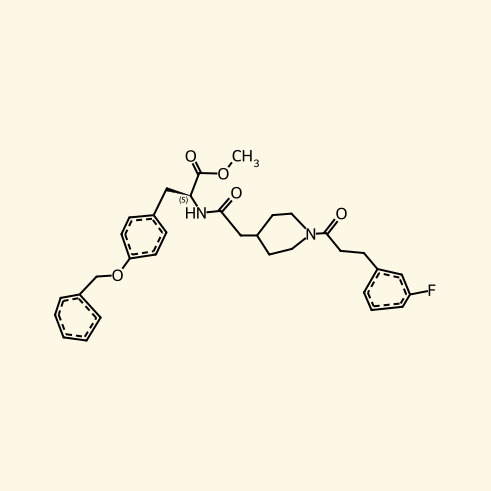 COC(=O)[C@H](Cc1ccc(OCc2ccccc2)cc1)NC(=O)CC1CCN(C(=O)CCc2cccc(F)c2)CC1